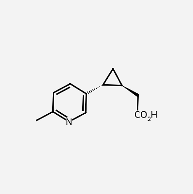 Cc1ccc([C@@H]2C[C@H]2CC(=O)O)cn1